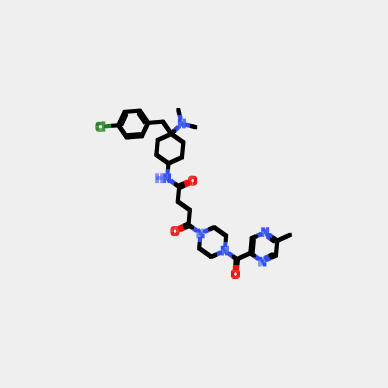 Cc1cnc(C(=O)N2CCN(C(=O)CCC(=O)NC3CCC(Cc4ccc(Cl)cc4)(N(C)C)CC3)CC2)cn1